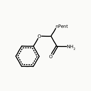 CCCCCC(Oc1ccccc1)C(N)=O